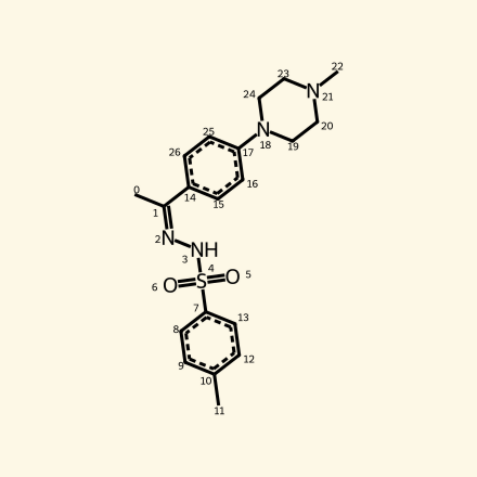 C/C(=N/NS(=O)(=O)c1ccc(C)cc1)c1ccc(N2CCN(C)CC2)cc1